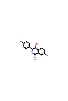 Cc1ccc(-c2nc(Cl)c3cc(C)ccc3c2Br)cc1